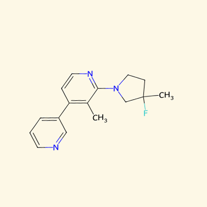 Cc1c(-c2cccnc2)ccnc1N1CCC(C)(F)C1